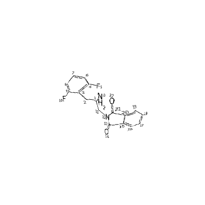 NC(Cc1c(F)cccc1F)CN1C(=O)c2ccccc2C1=O